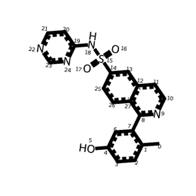 Cc1ccc(O)cc1-c1nccc2cc(S(=O)(=O)Nc3ccncn3)ccc12